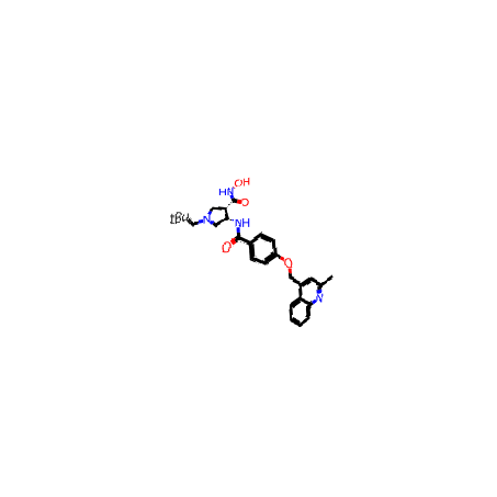 Cc1cc(COc2ccc(C(=O)N[C@@H]3CN(CC(C)(C)C)C[C@@H]3C(=O)NO)cc2)c2ccccc2n1